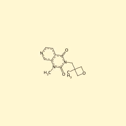 Cn1c(=O)n(CC2(C)COC2)c(=O)c2ccncc21